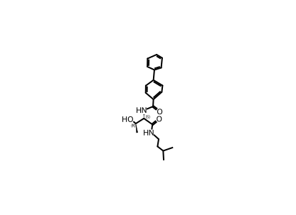 CC(C)CCNC(=O)[C@@H](NC(=O)c1ccc(-c2ccccc2)cc1)[C@@H](C)O